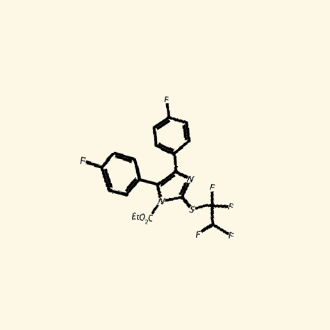 CCOC(=O)n1c(SC(F)(F)C(F)F)nc(-c2ccc(F)cc2)c1-c1ccc(F)cc1